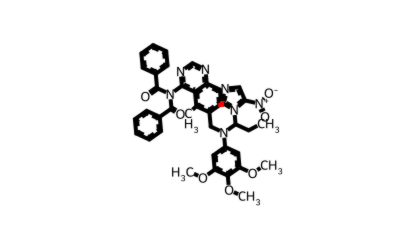 CCC(N(Cc1ccc2ncnc(N(C(=O)c3ccccc3)C(=O)c3ccccc3)c2c1C)c1cc(OC)c(OC)c(OC)c1)n1cncc1[N+](=O)[O-]